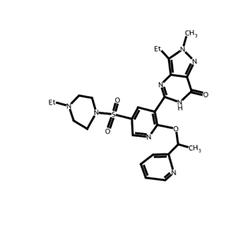 CCc1c2nc(-c3cc(S(=O)(=O)N4CCN(CC)CC4)cnc3OC(C)c3ccccn3)[nH]c(=O)c2nn1C